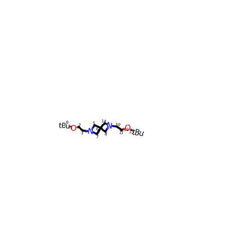 CC(C)(C)OCCN1CC2(C1)CN(CCOC(C)(C)C)C2